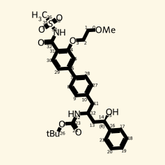 COCCOc1cc(-c2ccc(CC(C[C@@H](O)c3ccccc3)NC(=O)OC(C)(C)C)cc2)ccc1C(=O)NS(C)(=O)=O